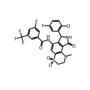 CN1CCS(=O)(=O)c2cc(NC(=O)c3cc(F)cc(C(F)(F)F)c3)c3c(c21)C(=O)NC3c1cc(F)ccc1Cl